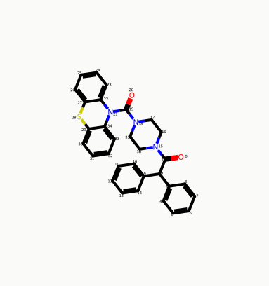 O=C(C(c1ccccc1)c1ccccc1)N1CCN(C(=O)N2c3ccccc3Sc3ccccc32)CC1